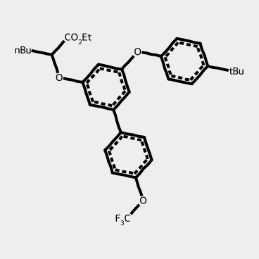 CCCCC(Oc1cc(Oc2ccc(C(C)(C)C)cc2)cc(-c2ccc(OC(F)(F)F)cc2)c1)C(=O)OCC